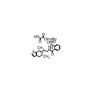 CCCCS(=O)(=O)Nc1ccccc1C(=O)NCCN1[C@H](C)Cc2ccsc2[C@@H]1C.O=C(O)C(=O)O